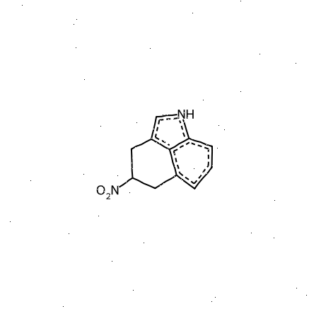 O=[N+]([O-])C1Cc2cccc3[nH]cc(c23)C1